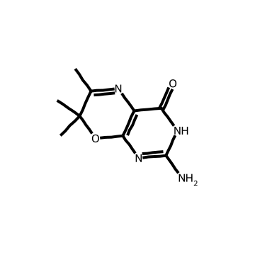 CC1=Nc2c(nc(N)[nH]c2=O)OC1(C)C